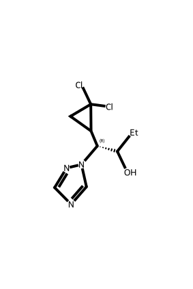 CCC(O)[C@@H](C1CC1(Cl)Cl)n1cncn1